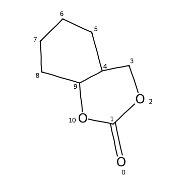 O=C1OCC2CCCCC2O1